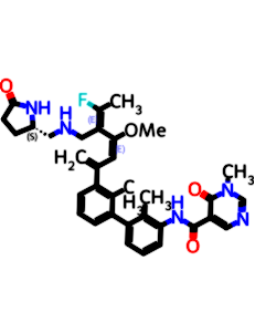 C=C(/C=C(OC)\C(CNC[C@@H]1CCC(=O)N1)=C(/C)F)c1cccc(-c2cccc(NC(=O)c3cncn(C)c3=O)c2C)c1C